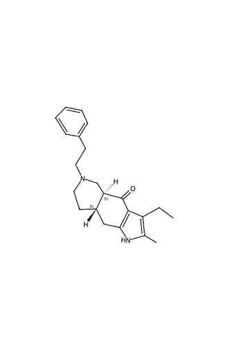 CCc1c(C)[nH]c2c1C(=O)[C@@H]1CN(CCc3ccccc3)CC[C@H]1C2